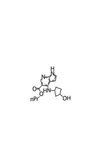 CCCOC(=O)c1cnc2[nH]ccc2c1NC1CCC(O)C1